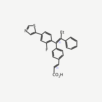 CC/C(=C(/c1ccc(/C=C/C(=O)O)cc1)c1ccc(-c2cncs2)cc1F)c1ccccc1